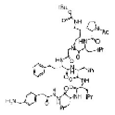 CC(=O)N1CCC[C@H]1C(=O)N[C@@H](CC(C)C)C(=O)N(CCCCNC(=O)OC(C)(C)C)CC(=O)N[C@@H](CCc1ccccc1)C(=O)N[C@@H](CC(C)C)C(=O)N[C@@H](CC(C)C)C(=O)N[C@H](CC(C)C)C(=O)NNC(=O)Cc1ccc(CN)cc1